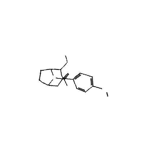 COc1ccc(C2CC3CCC(C2CO)N3C(=O)O)cc1